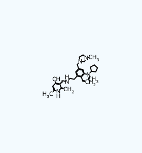 C=Cc1c(CCNCC2=C(C)C=C(C)NC2=C)cc(CN2CCN(C)C2)cc1N(C)C1CCCC1